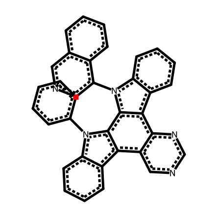 c1ccc(-n2c3ccccc3c3c4cncnc4c4c5ccccc5n(-c5cncc6ccccc56)c4c32)cc1